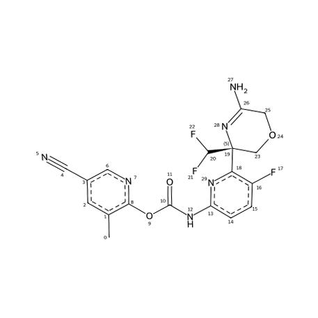 Cc1cc(C#N)cnc1OC(=O)Nc1ccc(F)c([C@@]2(C(F)F)COCC(N)=N2)n1